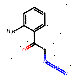 Bc1ccccc1C(=O)CN=[N+]=[N-]